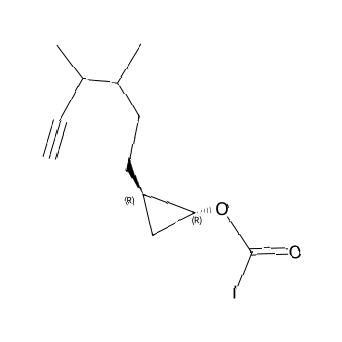 C#CC(C)C(C)CC[C@@H]1C[C@H]1OC(=O)I